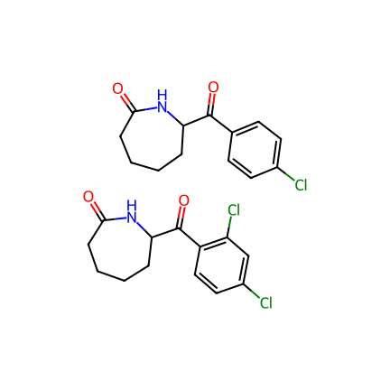 O=C1CCCCC(C(=O)c2ccc(Cl)cc2)N1.O=C1CCCCC(C(=O)c2ccc(Cl)cc2Cl)N1